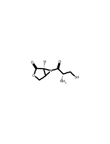 N[C@@H](CS)C(=O)N1C2COC(=O)[C@H]21